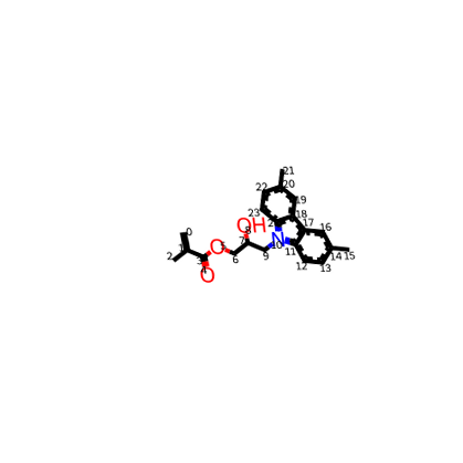 C=C(C)C(=O)OCC(O)Cn1c2ccc(C)cc2c2cc(C)ccc21